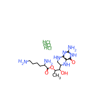 CC(OC(=O)C(N)CCCCN)C(O)C1CNc2nc(N)[nH]c(=O)c2N1.Cl.Cl.Cl